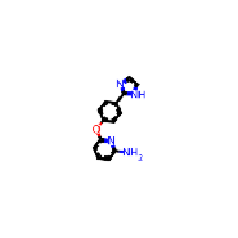 Nc1cccc(Oc2ccc(-c3ncc[nH]3)cc2)n1